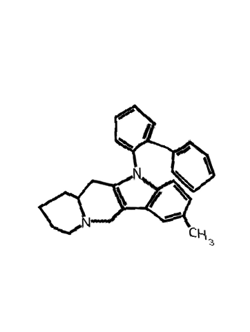 Cc1ccc2c(c1)c1c(n2-c2ccccc2-c2ccccc2)CC2CCCCN2C1